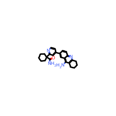 NC(=O)C1(c2cc(-c3ccc4nc5c(c(N)c4c3)CCCC5)ccn2)CCCCC1